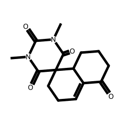 CN1C(=O)N(C)C(=O)C2(CCC=C3C(=O)CCCC32)C1=O